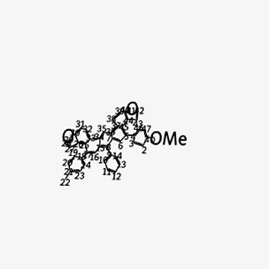 COc1ccc(-c2cc3c(-c4ccccc4)c4cc(-c5ccc(C)cc5)c5c6ccoc6ccc5c4cc3c3ccc4occc4c23)cc1